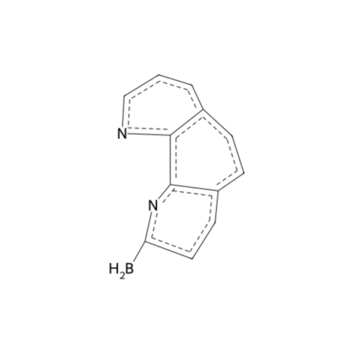 Bc1ccc2ccc3cccnc3c2n1